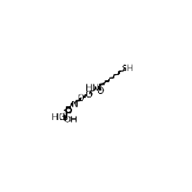 O=C(CCCCCCCCCCS)NCCOCCOCC/N=C/c1ccc(B(O)O)cc1